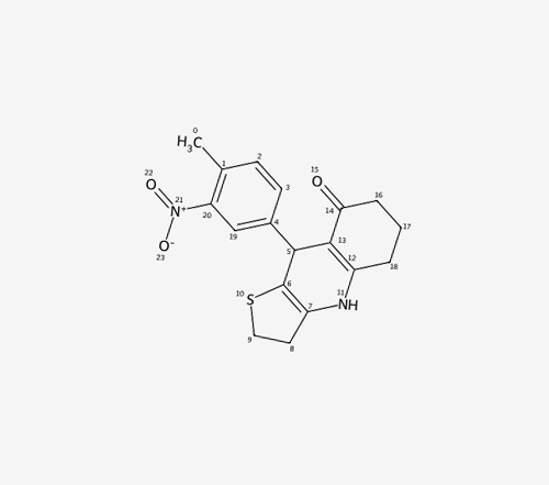 Cc1ccc(C2C3=C(CCS3)NC3=C2C(=O)CCC3)cc1[N+](=O)[O-]